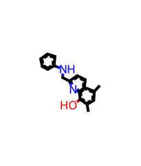 Cc1cc(C)c2ccc(CNc3ccccc3)nc2c1O